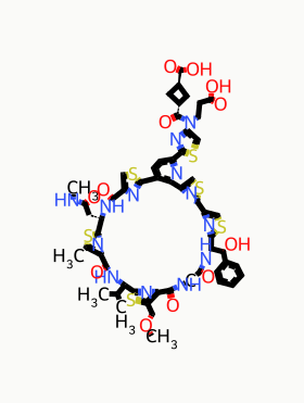 CNC(=O)C[C@@H]1NC(=O)c2csc(n2)-c2ccc(-c3nc(N(CCC(=O)O)C(=O)[C@H]4C[C@H](C(=O)O)C4)cs3)nc2-c2csc(n2)-c2csc(n2)[C@H]([C@@H](O)c2ccccc2)NC(=O)CNC(=O)c2nc(sc2COC)C(C(C)C)NC(=O)c2nc1sc2C